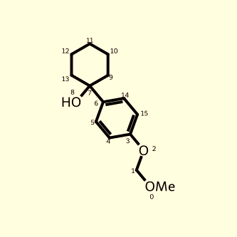 COCOc1ccc(C2(O)CCCCC2)cc1